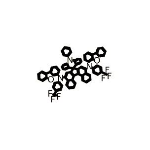 FC(F)(F)c1ccc(N(c2cc3c(c4ccccc24)-c2c(cc(N(c4ccc(C(F)(F)F)cc4)c4cccc5c4oc4ccccc45)c4ccccc24)C32c3ccccc3N(c3ccccc3)c3ccccc32)c2cccc3c2oc2ccccc23)cc1